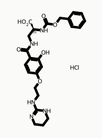 Cl.O=C(N[C@@H](CNC(=O)c1ccc(OCCNC2=NCCCN2)cc1O)C(=O)O)OCc1ccccc1